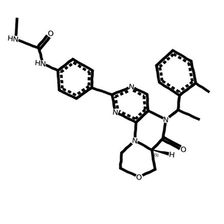 CNC(=O)Nc1ccc(-c2ncc3c(n2)N2CCOC[C@H]2C(=O)N3C(C)c2ccccc2C)cc1